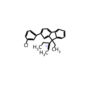 C/C=C(\CC)C1(CC)c2ccccc2-c2ccc(-c3cccc(Cl)c3)cc21